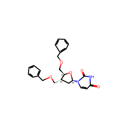 O=c1ccn([C@H]2C[C@H](COCc3ccccc3)[C@@H](COCc3ccccc3)O2)c(=O)[nH]1